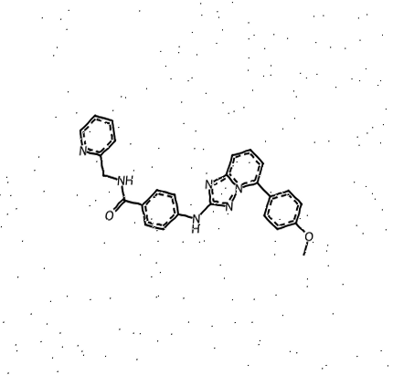 COc1ccc(-c2cccc3nc(Nc4ccc(C(=O)NCc5ccccn5)cc4)nn23)cc1